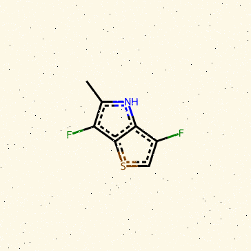 Cc1[nH]c2c(F)csc2c1F